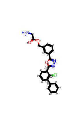 NCC(=O)OCc1cccc(-c2nnc(-c3cccc(-c4ccccc4)c3Cl)o2)c1